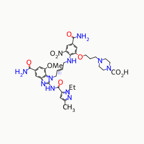 CCn1nc(C)cc1C(=O)Nc1nc2cc(C(N)=O)cc(OC)c2n1C/C=C/CNc1c(OCCCN2CCN(C(=O)O)CC2)cc(C(N)=O)cc1[N+](=O)[O-]